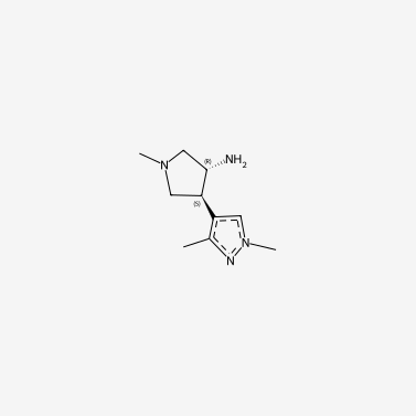 Cc1nn(C)cc1[C@H]1CN(C)C[C@@H]1N